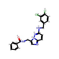 O=C(NCc1cnc2ccc(NCc3ccc(Cl)c(Cl)c3)nn12)c1ccccc1